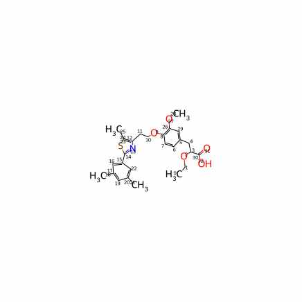 CCOC(Cc1ccc(OCCc2nc(-c3cc(C)cc(C)c3)sc2C)c(OC)c1)C(=O)O